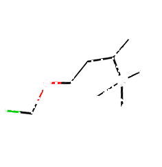 CC(CCOCCl)[Si](C)(C)C